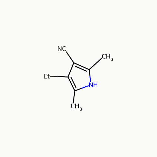 CCc1c(C)[nH]c(C)c1C#N